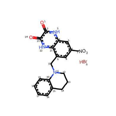 Br.O=c1[nH]c2cc([N+](=O)[O-])cc(CN3CCCc4ccccc43)c2[nH]c1=O